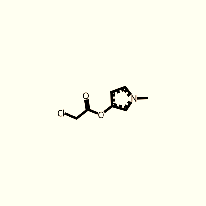 Cn1ccc(OC(=O)CCl)c1